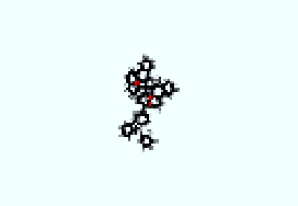 c1ccc(-n2c3ccccc3c3cc(-c4ccc(C5(c6ccccc6)c6c(c7ccccc7c7ccccc67)Oc6c5c5ccccc5c5ccccc65)cc4)ccc32)cc1